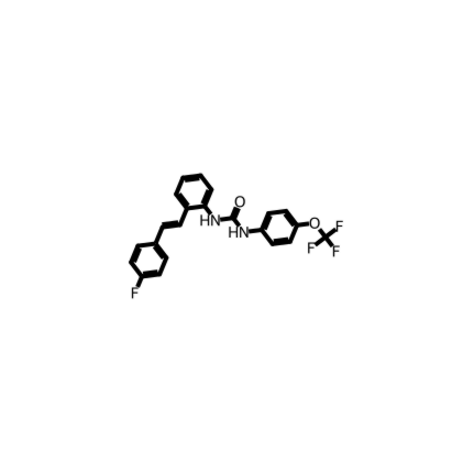 O=C(Nc1ccc(OC(F)(F)F)cc1)Nc1ccccc1/C=C/c1ccc(F)cc1